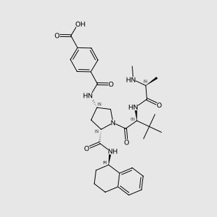 CN[C@@H](C)C(=O)N[C@H](C(=O)N1C[C@@H](NC(=O)c2ccc(C(=O)O)cc2)C[C@H]1C(=O)N[C@@H]1CCCc2ccccc21)C(C)(C)C